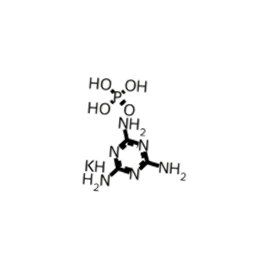 Nc1nc(N)nc(N)n1.O=P(O)(O)O.[KH]